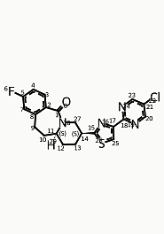 O=C1c2ccc(F)cc2CC[C@@H]2CC[C@H](c3nc(-c4ncc(Cl)cn4)cs3)CN12